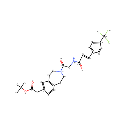 CC(C)(C)OC(=O)Cc1ccc2c(c1)CCN(C(=O)CNC(=O)/C=C/c1ccc(C(F)(F)F)cc1)CC2